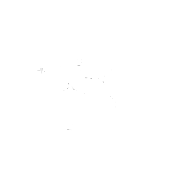 CCCON1C(=O)C(c2ccccc2)(N2CCNCC2)c2ccccc21